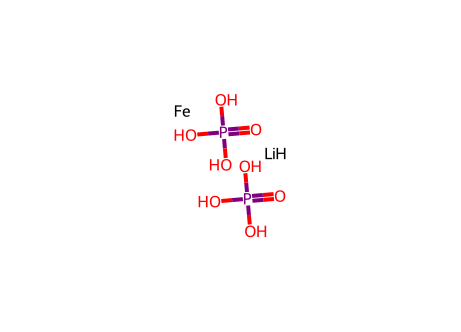 O=P(O)(O)O.O=P(O)(O)O.[Fe].[LiH]